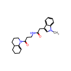 Cn1cc(CC(=O)NCCC(=O)N2CCCC3CCCC=C32)c2ccccc21